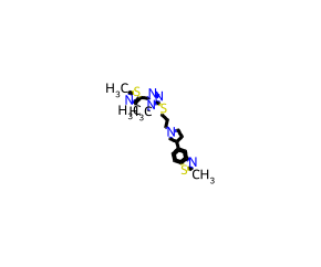 Cc1nc(C)c(-c2nnc(SCCCN3CCC(c4ccc5sc(C)nc5c4)C3)n2C)s1